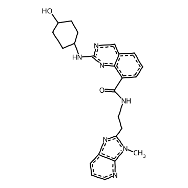 Cn1c(CCNC(=O)c2cccc3cnc(NC4CCC(O)CC4)nc23)nc2cccnc21